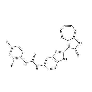 O=C(Nc1ccc2[nH]c(-c3c4cccccc-4[nH]c3=O)nc2c1)Nc1ccc(F)cc1F